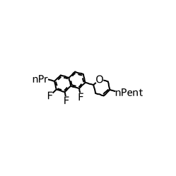 CCCCCC1=CCC(c2ccc3cc(CCC)c(F)c(F)c3c2F)OC1